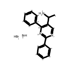 Br.Br.CC(N)c1cnc(-c2ccccc2)nc1-c1ccccc1